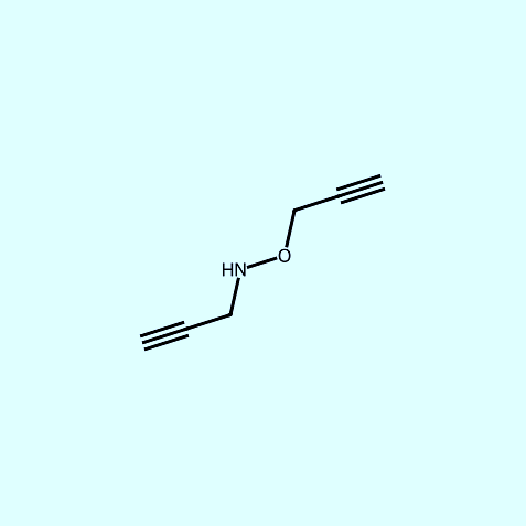 C#CCNOCC#C